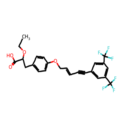 CCOC(Cc1ccc(OCC=CC#Cc2cc(C(F)(F)F)cc(C(F)(F)F)c2)cc1)C(=O)O